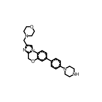 c1cc(N2CCNCC2)ccc1-c1ccc2c(c1)OCc1nc(CN3CCOCC3)cn1-2